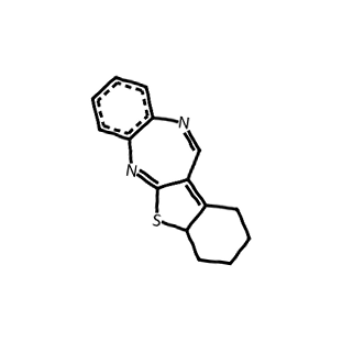 C1=Nc2ccccc2N=C2SC3CCCCC3=C12